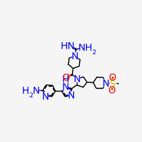 CS(=O)(=O)N1CCC(C2CC(c3ncc(-c4ccc(N)nc4)[nH]3)N(C(=O)C3CCN(C(=N)N)CC3)C2)CC1